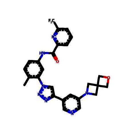 Cc1ccc(NC(=O)c2cccc(C(F)(F)F)n2)cc1-n1cc(-c2cncc(N3CC4(COC4)C3)c2)nn1